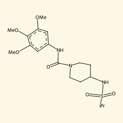 COc1cc(NC(=O)N2CCC(NS(=O)(=O)C(C)C)CC2)cc(OC)c1OC